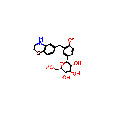 COc1ccc([C@@H]2O[C@H](CO)[C@@H](O)[C@H](O)[C@H]2O)cc1Cc1ccc2c(c1)NCCS2